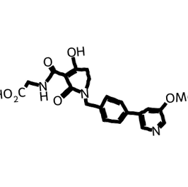 COc1cncc(-c2ccc(CN3CCC(O)=C(C(=O)NCC(=O)O)C3=O)cc2)c1